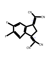 [C-]#[N+]/C(C#N)=C1/C/C(=C(\C#N)[N+]#[C-])c2cc(F)c(F)cc21